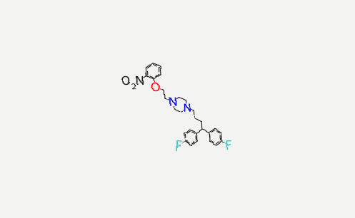 O=[N+]([O-])c1ccccc1OCCN1CCN(CCCC(c2ccc(F)cc2)c2ccc(F)cc2)CC1